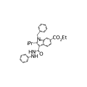 CCOC(=O)c1ccc2c(C(=O)NNc3ccccc3)c(C(C)C)n(Cc3ccccc3)c2c1